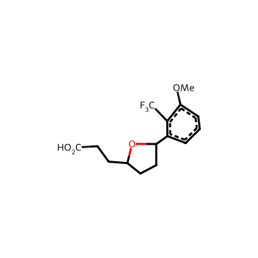 COc1cccc(C2CCC(CCC(=O)O)O2)c1C(F)(F)F